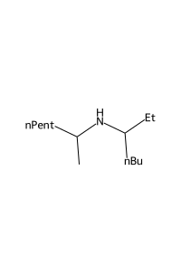 CCCCCC(C)NC(CC)CCCC